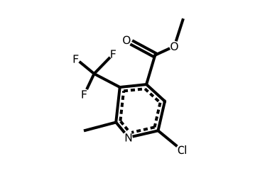 COC(=O)c1cc(Cl)nc(C)c1C(F)(F)F